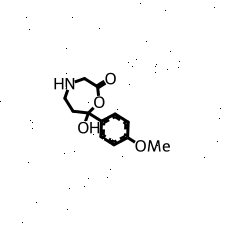 COc1ccc(C2(O)CCNCC(=O)O2)cc1